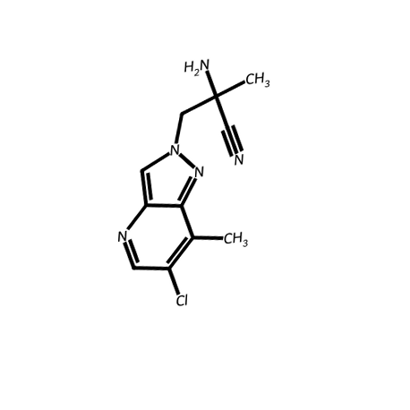 Cc1c(Cl)cnc2cn(CC(C)(N)C#N)nc12